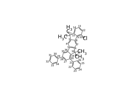 CC1(C)c2cc3c(cc2-c2c(Cl)cccc21)C(C)(C)c1c(-c2ccccc2)cc(-c2ccccc2)cc1-3